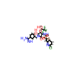 N=C(N)c1ccc(O)c(CN2CCC(NS(=O)(=O)c3cc4nc(Cl)ccc4s3)C2=O)c1.O=C(O)C(F)(F)F